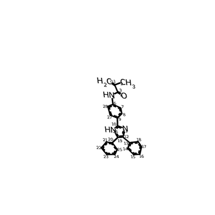 C=C(C)C(=O)Nc1ccc(-c2nc(-c3ccccc3)c(-c3ccccc3)[nH]2)cc1